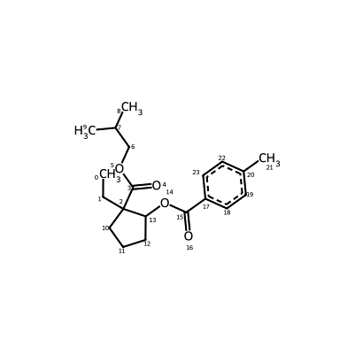 CCC1(C(=O)OCC(C)C)CCCC1OC(=O)c1ccc(C)cc1